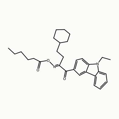 CCCCCC(=O)O/N=C(\CCC1CCCCC1)C(=O)c1ccc2c(c1)c1ccccc1n2CC